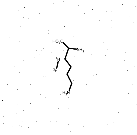 NCCCCC(N)C(=O)O.[2H][2H]